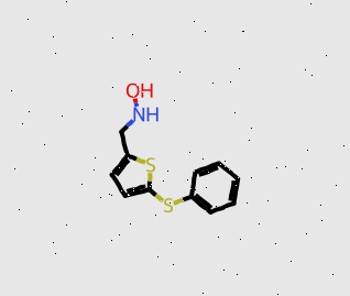 ONCc1ccc(Sc2ccccc2)s1